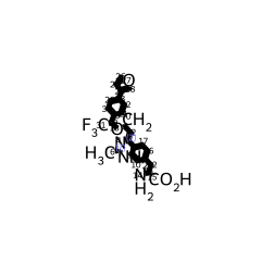 C=C(/C=C(\N=C(\C)N)c1ccc(C[C@H](N)C(=O)O)cc1)OC(c1ccc(-c2ccoc2)cc1)C(F)(F)F